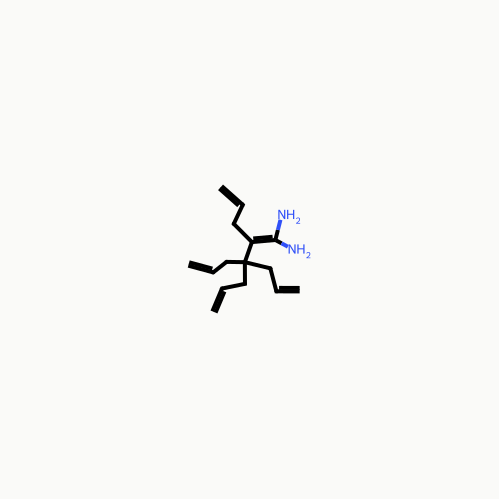 C=CCC(=C(N)N)C(CC=C)(CC=C)CC=C